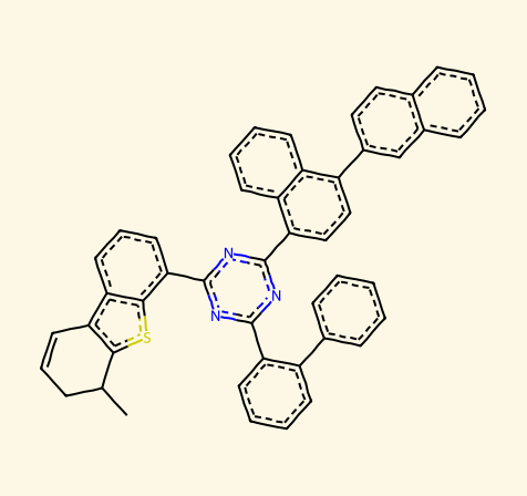 CC1CC=Cc2c1sc1c(-c3nc(-c4ccccc4-c4ccccc4)nc(-c4ccc(-c5ccc6ccccc6c5)c5ccccc45)n3)cccc21